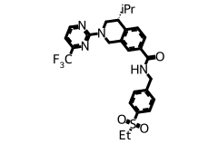 CCS(=O)(=O)c1ccc(CNC(=O)c2ccc3c(c2)CN(c2nccc(C(F)(F)F)n2)C[C@@H]3C(C)C)cc1